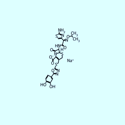 CC(C)O/N=C(/C(=O)N[C@@H]1C(=O)N2C(C(=O)[O-])=C(CSc3nnc(-c4ccc(O)c(O)c4)o3)CS[C@H]12)c1csc(N)n1.[Na+]